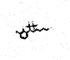 CCCCCCP(c1cccc(F)c1F)C(F)(F)C(F)(F)F